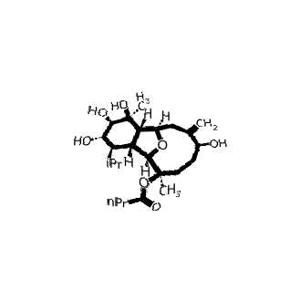 C=C1C[C@H]2O[C@H]([C@@H]3[C@@H](C(C)C)[C@H](O)[C@@H](O)[C@@](C)(O)[C@@H]32)[C@](C)(OC(=O)CCC)CC[C@@H]1O